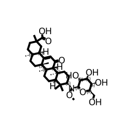 CON([C@@H]1O[C@H](CO)[C@@H](O)[C@H](O)[C@H]1O)[C@H]1CC[C@]2(C)[C@H]3C(=O)C=C4[C@@H]5CC(C)(C(=O)O)CC[C@]5(C)CC[C@@]4(C)[C@]3(C)CC[C@H]2C1(C)C